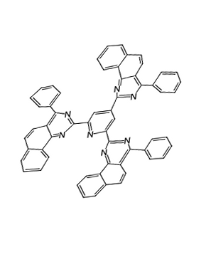 c1ccc(-c2nc(-c3cc(-c4nc(-c5ccccc5)c5ccc6ccccc6c5n4)nc(-c4nc(-c5ccccc5)c5ccc6ccccc6c5n4)c3)nc3c2ccc2ccccc23)cc1